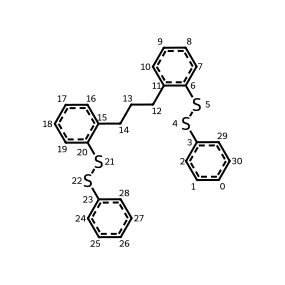 c1ccc(SSc2ccccc2CCCc2ccccc2SSc2ccccc2)cc1